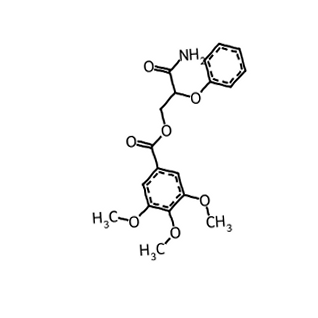 COc1cc(C(=O)OCC(Oc2ccccc2)C(N)=O)cc(OC)c1OC